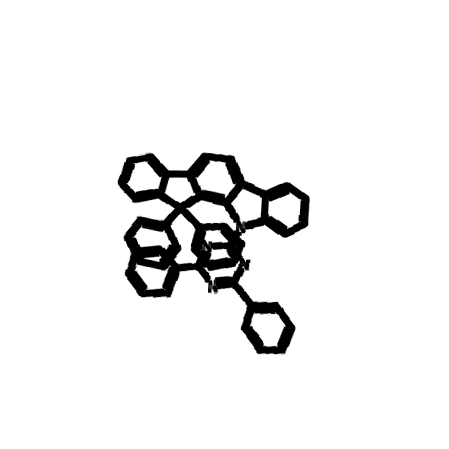 c1ccc(-c2nc(-c3ccccc3)nc(-n3c4ccccc4c4ccc5c(c43)C(c3ccccc3)(c3ccccc3)c3ccccc3-5)n2)cc1